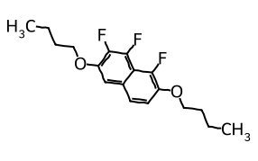 CCCCOc1cc2ccc(OCCCC)c(F)c2c(F)c1F